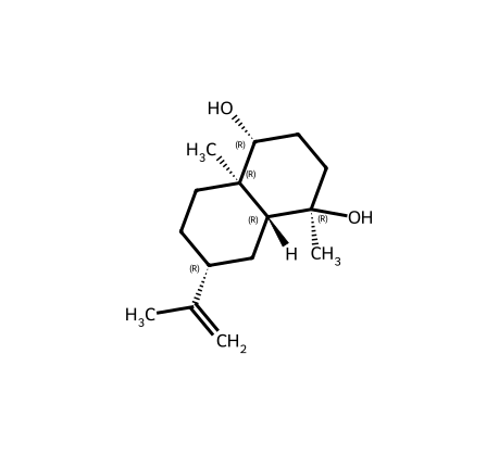 C=C(C)[C@@H]1CC[C@@]2(C)[C@H](O)CC[C@@](C)(O)[C@@H]2C1